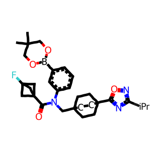 CC(C)c1noc(C23CCC(CN(C(=O)C45CC(F)(C4)C5)c4cccc(B5OCC(C)(C)CO5)c4)(CC2)CC3)n1